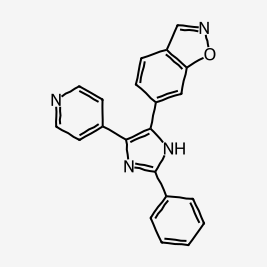 c1ccc(-c2nc(-c3ccncc3)c(-c3ccc4cnoc4c3)[nH]2)cc1